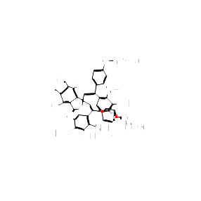 CCCCCOc1ccc(C(=CC2(C=C(c3ccc(OCCCCC)cc3)c3ccc(C)c(C)c3N)OC(=O)c3c(Cl)c(Cl)c(Cl)c(Cl)c32)c2ccc(C)c(C)c2N)cc1